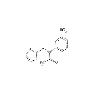 O=C(N(CC1CC=CS1)c1cccc([N+](=O)[O-])c1)C(F)(F)F